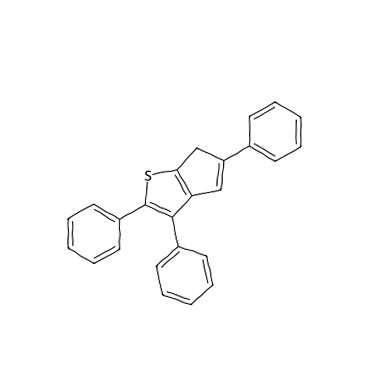 C1=C(c2ccccc2)Cc2sc(-c3ccccc3)c(-c3ccccc3)c21